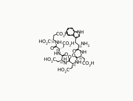 N[C@@H](Cc1c[nH]c2ccccc12)C(=O)N[C@@H](CC(=O)O)C(=O)N[C@@H](CC(=O)O)C(=O)N[C@@H](CC(=O)O)C(=O)N[C@@H](CC(=O)O)C(=O)N[C@@H](CC(=O)O)C(=O)O